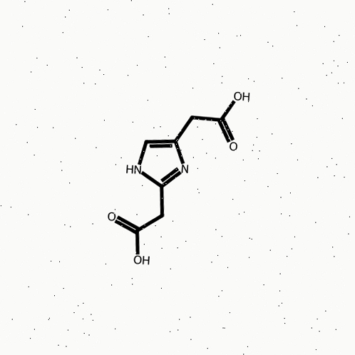 O=C(O)Cc1c[nH]c(CC(=O)O)n1